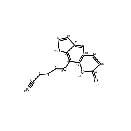 N#CCCCOc1c2occc2cc2ccc(=O)oc12